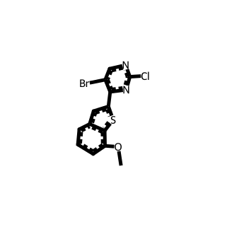 COc1cccc2cc(-c3nc(Cl)ncc3Br)sc12